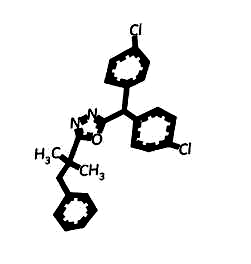 CC(C)(Cc1ccccc1)c1nnc(C(c2ccc(Cl)cc2)c2ccc(Cl)cc2)o1